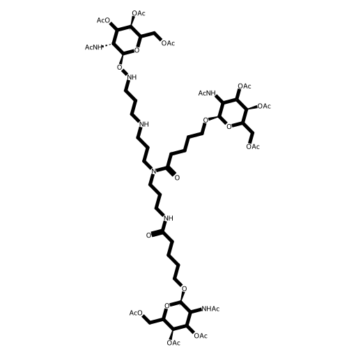 CC(=O)NC1C(OC(C)=O)[C@@H](OC(C)=O)C(COC(C)=O)O[C@H]1OCCCCC(=O)NCCCN(CCCNCCCNO[C@@H]1OC(COC(C)=O)[C@H](OC(C)=O)C(OC(C)=O)[C@H]1NC(C)=O)C(=O)CCCCO[C@@H]1OC(COC(C)=O)[C@H](OC(C)=O)C(OC(C)=O)C1NC(C)=O